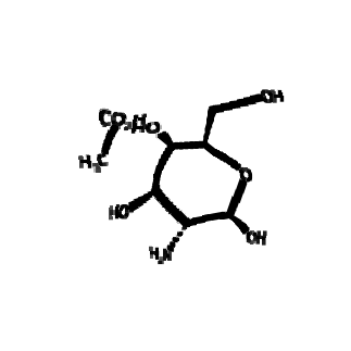 CC(=O)O.N[C@@H]1[C@@H](O)[C@@H](O)[C@@H](CO)O[C@H]1O